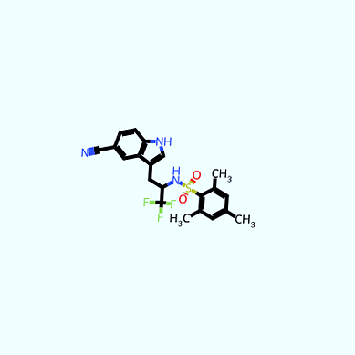 Cc1cc(C)c(S(=O)(=O)NC(Cc2c[nH]c3ccc(C#N)cc23)C(F)(F)F)c(C)c1